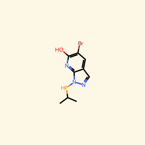 CC(C)Pn1ncc2cc(Br)c(O)nc21